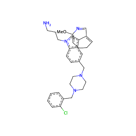 COC1=C/CC/C=C(c2cn(CCCN)c3ccc(CN4CCN(Cc5ccccc5Cl)CC4)cc23)/C=N\1